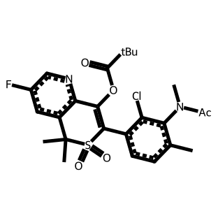 CC(=O)N(C)c1c(C)ccc(C2=C(OC(=O)C(C)(C)C)c3ncc(F)cc3C(C)(C)S2(=O)=O)c1Cl